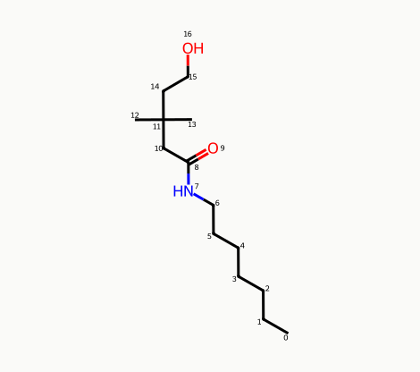 CCCCCCCNC(=O)CC(C)(C)CCO